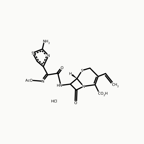 C=CC1=C(C(=O)O)N2C(=O)C(NC(=O)C(=NOC(C)=O)c3csc(N)n3)[C@@H]2SC1.Cl